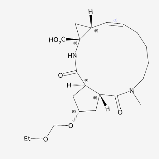 CCOCO[C@@H]1C[C@H]2C(=O)N[C@]3(C(=O)O)C[C@@H]3/C=C\CCCCN(C)C(=O)[C@@H]2C1